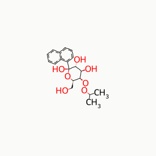 CC(C)OO[C@@H]1[C@H](O)[C@@H](O)[C@@](O)(c2cccc3ccccc23)O[C@@H]1CO